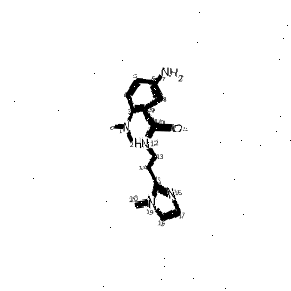 CN(C)c1ccc(N)cc1C(=O)NCCc1nccn1C